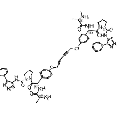 CN[C@@H](C)C(=O)N[C@H](C(=O)N1CCC[C@H]1C(=O)Nc1snnc1-c1ccccc1)c1ccc(OCC#CC#CCOc2ccc([C@H](NC(=O)[C@H](C)NC)C(=O)N3CCC[C@H]3C(=O)Nc3snnc3-c3ccccc3)cc2)cc1